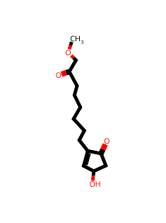 COCC(=O)CCCCCCC1=CC(O)CC1=O